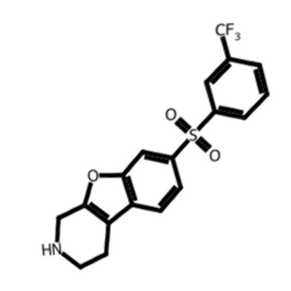 O=S(=O)(c1cccc(C(F)(F)F)c1)c1ccc2c3c(oc2c1)CNCC3